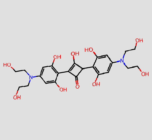 O=C1C(c2c(O)cc(N(CCO)CCO)cc2O)=C(O)C1c1c(O)cc(N(CCO)CCO)cc1O